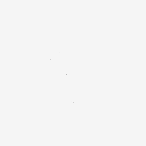 Cc1[nH]c2c(F)c(F)ccc2c1CCNC(=O)c1cc2cc(F)ccc2[nH]1